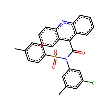 Cc1ccc(S(=O)(=O)N(C(=O)c2c3ccccc3nc3ccccc23)c2cc(C)cc(Cl)c2)cc1